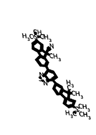 CC1(C)c2cc(-c3ccc(-c4ccc5c(c4)C(C)(C#N)c4cc(S(C)(C)C)ccc4-5)c4nsnc34)ccc2-c2ccc(S(C)(C)C)cc21